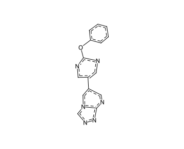 c1ccc(Oc2ncc(-c3cnc4nncn4c3)cn2)cc1